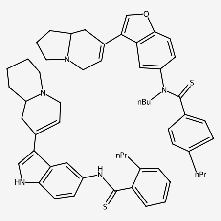 CCCCN(C(=S)c1ccc(CCC)cc1)c1ccc2occ(C3=CCN4CCCC4C3)c2c1.CCCc1ccccc1C(=S)Nc1ccc2[nH]cc(C3=CCN4CCCCC4C3)c2c1